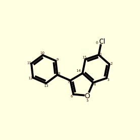 Clc1ccc2occ(-c3ccccc3)c2c1